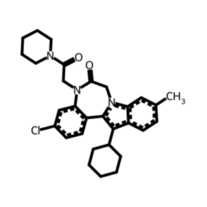 Cc1ccc2c(C3CCCCC3)c3n(c2c1)CC(=O)N(CC(=O)N1CCCCC1)c1cc(Cl)ccc1-3